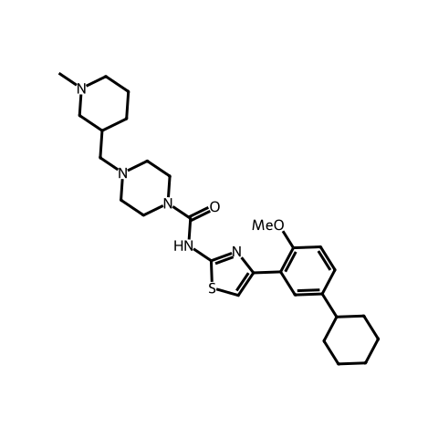 COc1ccc(C2CCCCC2)cc1-c1csc(NC(=O)N2CCN(CC3CCCN(C)C3)CC2)n1